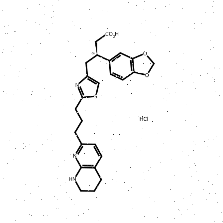 Cl.O=C(O)C[C@H](Cc1csc(CCCc2ccc3c(n2)NCCC3)n1)c1ccc2c(c1)OCO2